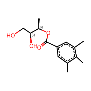 Cc1cc(C(=O)O[C@H](C)[C@@H](O)CO)cc(C)c1C